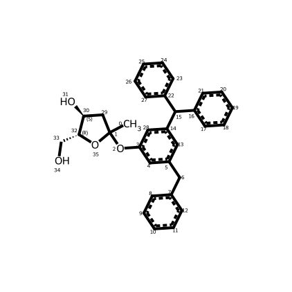 CC1(Oc2cc(Cc3ccccc3)cc(C(c3ccccc3)c3ccccc3)c2)C[C@H](O)[C@@H](CO)O1